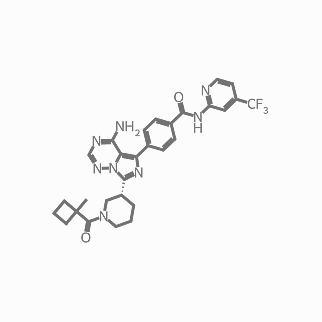 CC1(C(=O)N2CCC[C@@H](c3nc(-c4ccc(C(=O)Nc5cc(C(F)(F)F)ccn5)cc4)c4c(N)ncnn34)C2)CCC1